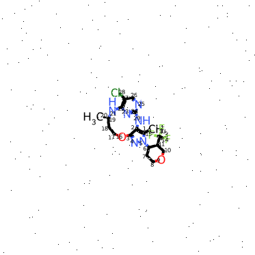 Cc1c2c(nn1C1CCOCC1C(F)(F)F)OCC[C@@H](C)Nc1nc(ncc1Cl)N2